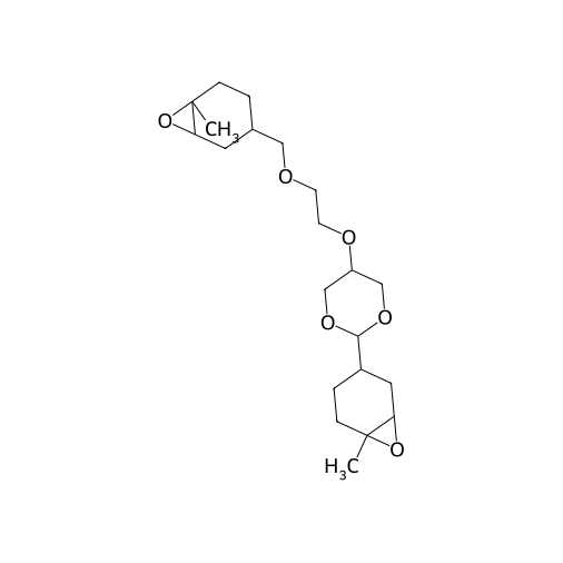 CC12CCC(COCCOC3COC(C4CCC5(C)OC5C4)OC3)CC1O2